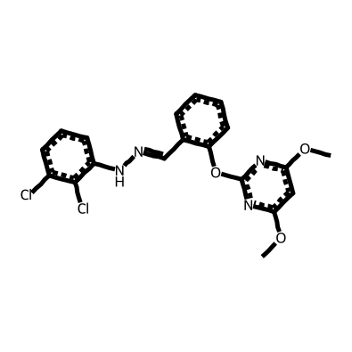 COc1cc(OC)nc(Oc2ccccc2C=NNc2cccc(Cl)c2Cl)n1